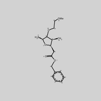 B[C@@H]1O[C@H](CC(=O)OCc2ccccc2)[C@H](C)C1OCCOC